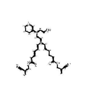 CC(C#N)COC(=O)CCCCCN(CCCCCC(=O)OCC(C)C#N)CCN(CCO)C1CCCOC1